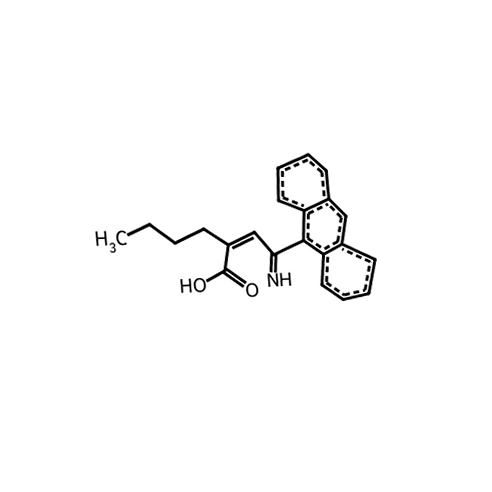 CCCCC(=CC(=N)c1c2ccccc2cc2ccccc12)C(=O)O